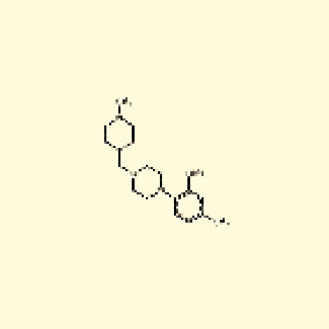 COc1cc(C)ccc1N1CCN(CC2CCN(C)CC2)CC1